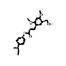 CCC(C)c1ccc(OC(=O)/C=C/c2cc(CO)c(OC)cc2OC)cc1